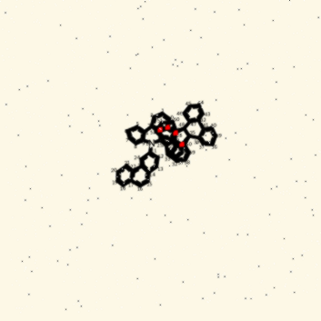 c1ccc(-c2ccccc2N(c2ccc3ccc4ccccc4c3c2)c2ccc3c4c(cccc24)C24c5ccccc5-c5ccccc5C32c2ccccc2-c2ccccc24)cc1